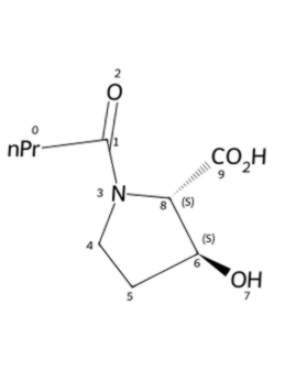 CCCC(=O)N1CC[C@H](O)[C@H]1C(=O)O